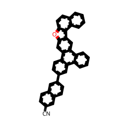 N#Cc1ccc2cc(-c3ccc4c(c3)c3ccccc3c3cc5c(cc43)oc3ccc4ccccc4c35)ccc2c1